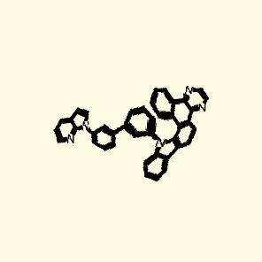 c1cc(-c2cccc(-n3c4ccccc4c4ccc5c6nccnc6c6ccccc6c5c43)c2)cc(-n2ccc3cccnc32)c1